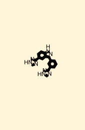 c1cc(-c2nc[nH]n2)cc(-c2n[nH]c3ccc(-c4nc[nH]n4)cc23)c1